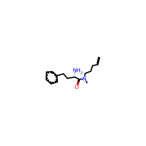 C=CCCCN(C)C(=O)[C@@H](N)CCc1ccccc1